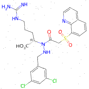 N=C(N)NCCC[C@@H](C(=O)O)N(NCc1cc(Cl)cc(Cl)c1)C(=O)CS(=O)(=O)c1cccc2cccnc12